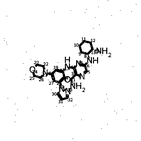 NC(=O)c1ncc(N[C@@H]2CCCC[C@@H]2N)nc1Nc1cc(N2CCOCC2)cc(-n2cccn2)c1